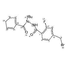 CC(C)(C)N(NC(=O)c1ccc(CBr)cc1F)C(=O)C1=CCCC=C1